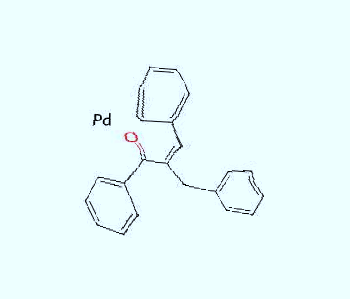 O=C(C(=Cc1ccccc1)Cc1ccccc1)c1ccccc1.[Pd]